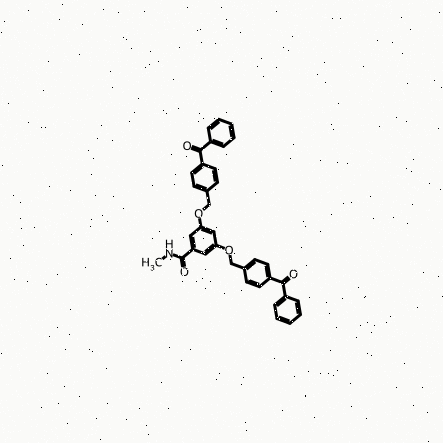 CNC(=O)c1cc(OCc2ccc(C(=O)c3ccccc3)cc2)cc(OCc2ccc(C(=O)c3ccccc3)cc2)c1